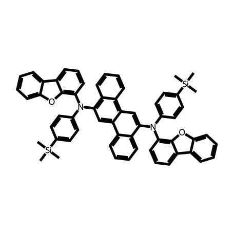 C[Si](C)(C)c1ccc(N(c2cc3c4ccccc4c(N(c4ccc([Si](C)(C)C)cc4)c4cccc5c4oc4ccccc45)cc3c3ccccc23)c2cccc3c2oc2ccccc23)cc1